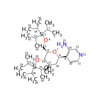 CC(C)[Si](OC[C@H]1O[C@@H](c2ccncc2N)C[C@@H](C)[C@@H]1O[Si](C(C)C)(C(C)C)C(C)C)(C(C)C)C(C)C